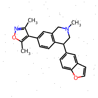 Cc1noc(C)c1-c1ccc2c(c1)CN(C)CC2c1ccc2occc2c1